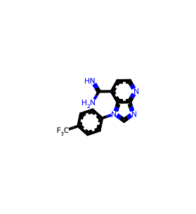 N=C(N)c1ccnc2ncn(-c3ccc(C(F)(F)F)cc3)c12